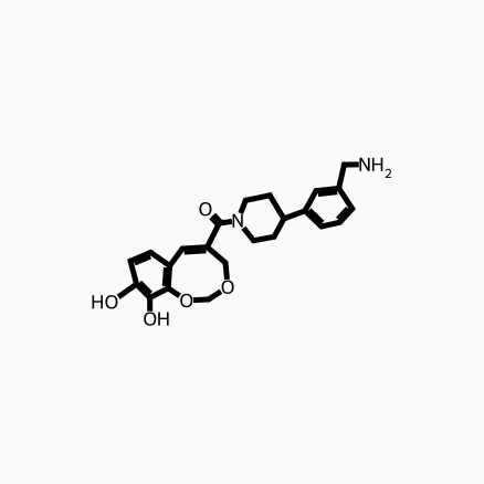 NCc1cccc(C2CCN(C(=O)/C3=C/c4ccc(O)c(O)c4OCOC3)CC2)c1